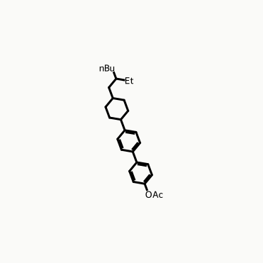 CCCCC(CC)CC1CCC(c2ccc(-c3ccc(OC(C)=O)cc3)cc2)CC1